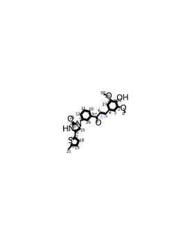 COc1cc(/C=C/C(=O)c2cccc(-n3cc(-c4ccc(C)s4)[nH]c3=O)c2)cc(OC)c1O